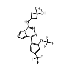 CC1(O)CC(Nc2nnc(-c3ccc(C(F)(F)F)cc3OC(F)(F)F)c3cncn23)C1